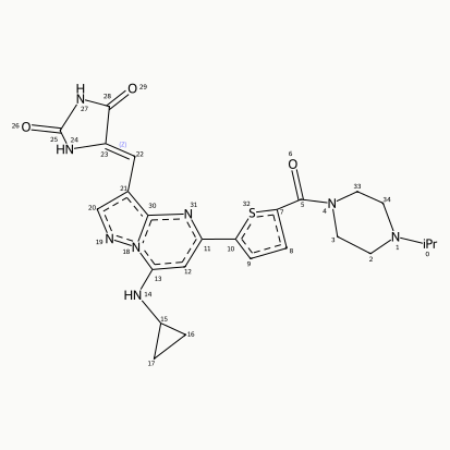 CC(C)N1CCN(C(=O)c2ccc(-c3cc(NC4CC4)n4ncc(/C=C5\NC(=O)NC5=O)c4n3)s2)CC1